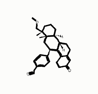 COC[C@]1(C)CCC[C@H]2[C@@H]3CCC4=CC(=O)CCC4=C3[C@@H](c3ccc(C=O)cc3)C[C@@]21C